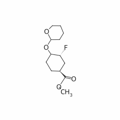 COC(=O)[C@H]1CCC(OC2CCCCO2)[C@H](F)C1